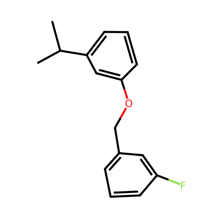 CC(C)c1cccc(OCc2cccc(F)c2)c1